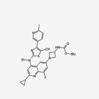 CCN(c1nc(-c2ccc(C)nc2)c(C#N)s1)c1cc(C2CC2)nc2c(F)cc(N3CC(NC(=O)OC(C)(C)C)C3)cc12